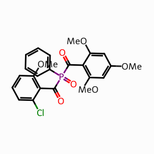 COc1cc(OC)c(C(=O)P(=O)(C(=O)c2c(Cl)cccc2OC)c2ccccc2)c(OC)c1